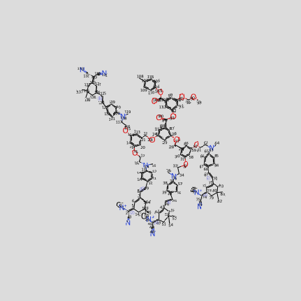 [C-]#[N+]/C(C#N)=C1C=C(/C=C/c2ccc(N(C)CCOc3cc(COc4cc(OCc5cc(OCCN(C)c6ccc(/C=C/C7=CC(=C(/C#N)[N+]#[C-])/CC(C)(C)C7)cc6)cc(OCCN(C)c6ccc(/C=C/C7=CC(=C(/C#N)[N+]#[C-])/CC(C)(C)C7)cc6)c5)cc(C(=O)Oc5cc(OCOC)cc(C(=O)Oc6ccc(C)cc6)c5)c4)cc(OCCN(C)c4ccc(/C=C/C5=CC(=C(C#N)C#N)CC(C)(C)C5)cc4)c3)cc2)CC(C)C\1